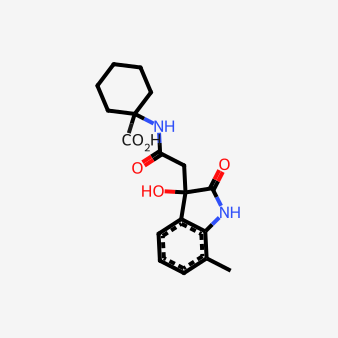 Cc1cccc2c1NC(=O)C2(O)CC(=O)NC1(C(=O)O)CCCCC1